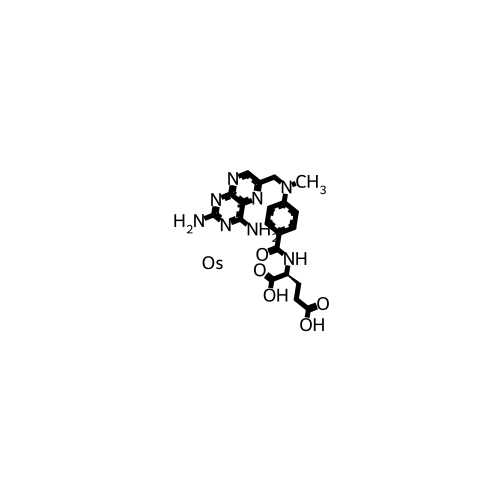 CN(Cc1cnc2nc(N)nc(N)c2n1)c1ccc(C(=O)N[C@@H](CCC(=O)O)C(=O)O)cc1.[Os]